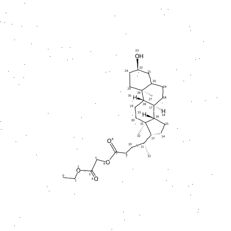 CCOC(=O)COC(=O)CC[C@@H](C)[C@H]1CC[C@H]2[C@@H]3CCC4C[C@H](O)CC[C@]4(C)[C@H]3CC[C@]12C